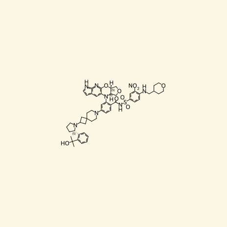 CC(C)(O)c1ccccc1[C@@H]1CCCN1C1CC2(CCN(c3ccc(C(=O)NS(=O)(=O)c4ccc(NCC5CCOCC5)c([N+](=O)[O-])c4)c(N4c5cc6cc[nH]c6nc5O[C@@H]5COC[C@H]54)c3)CC2)C1